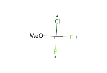 [CH2]OC(F)(F)Cl